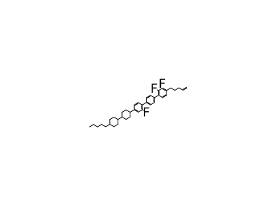 C=CCCCc1ccc(-c2ccc(-c3ccc(C4CCC(C5CCC(CCCCC)CC5)CC4)cc3F)cc2)c(F)c1F